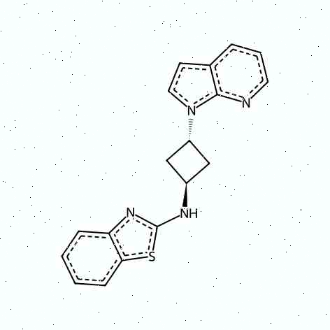 c1cnc2c(c1)ccn2[C@H]1C[C@H](Nc2nc3ccccc3s2)C1